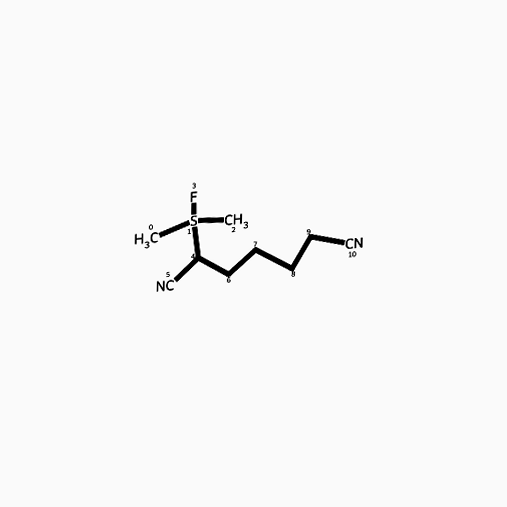 CS(C)(F)C(C#N)CCCCC#N